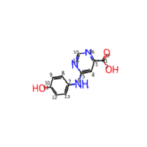 O=C(O)c1cc(Nc2ccc(O)cc2)ncn1